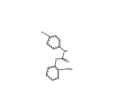 CCc1ccc(NC(=O)Oc2ccccc2OC)cc1